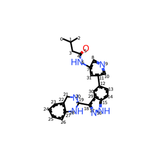 CC(C)CC(=O)Nc1cncc(-c2ccc3[nH]nc(C4=NCc5ccccc5N4)c3c2)c1